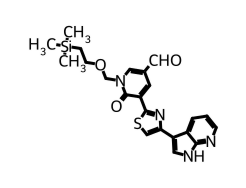 C[Si](C)(C)CCOCn1cc(C=O)cc(-c2nc(-c3c[nH]c4ncccc34)cs2)c1=O